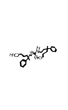 CC(CCCO)(CCNC(=S)NCCC(C)(CCCO)c1ccccc1)c1ccccc1